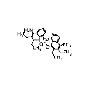 CCc1c(CC)c(O[PH](=O)Oc2c(CC)c(CC)c(N)c3ccccc23)c2ccccc2c1N